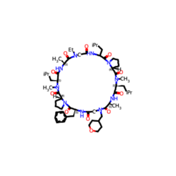 CCN1CC(=O)NC(CC(C)C)C(=O)N2CCC[C@@H]2C(=O)N(C)[C@@H](CC(C)C)C(=O)N[C@@H](C)C(=O)N(CC2CCOCC2)CC(=O)N[C@@H](Cc2ccccc2)C(=O)N2CCC[C@@H]2C(=O)N(C)[C@@H](CC(C)C)C(=O)N[C@@H](C)C1=O